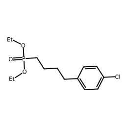 CCOP(=O)(CCCCc1ccc(Cl)cc1)OCC